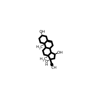 C#C[C@]1(O)C[C@H](O)C2C3CC=C4C[C@@H](O)CC[C@]4(C)C3CC[C@@]21C